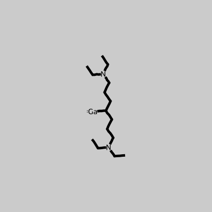 CCN(CC)CCC[CH]([Ga])CCCN(CC)CC